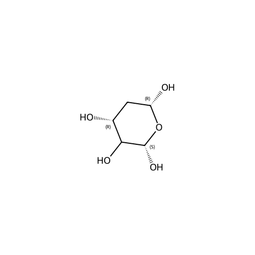 OC1[C@H](O)C[C@H](O)O[C@@H]1O